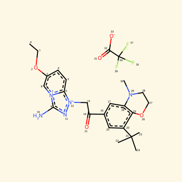 CCOc1ccc2n(c1)c(N)n[n+]2CC(=O)c1cc2c(c(C(C)(C)C)c1)OCCN2C.O=C([O-])C(F)(F)F